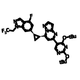 CC(C)(C)Oc1ncc(-c2cc([C@@H]3C[C@@H]3c3cc(F)c4cnn(CC(F)(F)F)c4c3)n3nccc3n2)c(OC(C)(C)C)n1